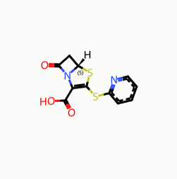 O=C(O)C1=C(Sc2ccccn2)S[C@H]2CC(=O)N12